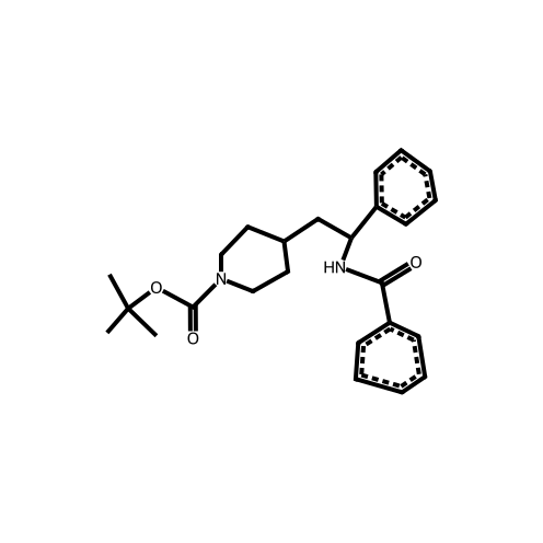 CC(C)(C)OC(=O)N1CCC(CC(NC(=O)c2ccccc2)c2ccccc2)CC1